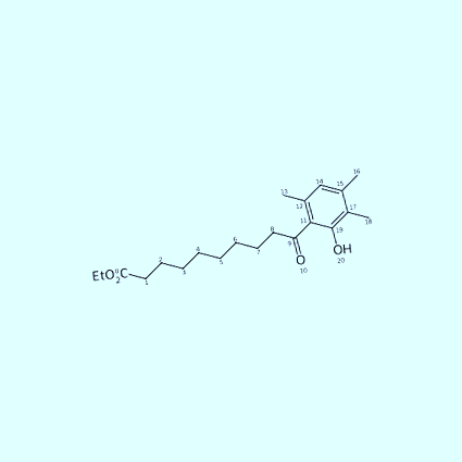 CCOC(=O)CCCCCCCCC(=O)c1c(C)cc(C)c(C)c1O